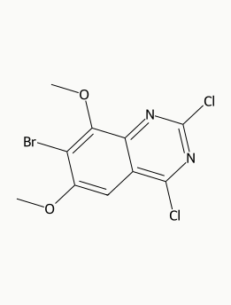 COc1cc2c(Cl)nc(Cl)nc2c(OC)c1Br